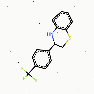 FC(F)(F)c1ccc(C2CSc3ccccc3N2)cc1